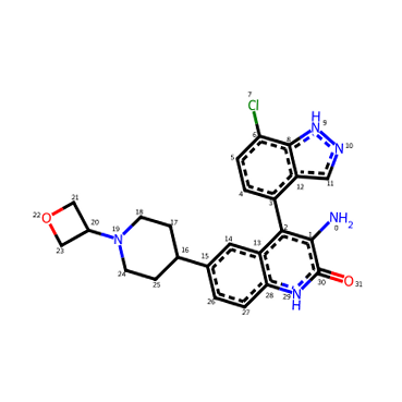 Nc1c(-c2ccc(Cl)c3[nH]ncc23)c2cc(C3CCN(C4COC4)CC3)ccc2[nH]c1=O